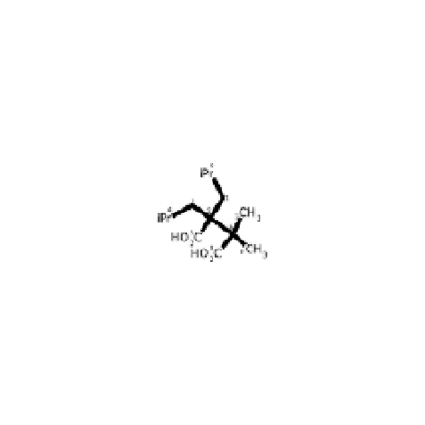 CC(C)CC(CC(C)C)(C(=O)O)C(C)(C)C(=O)O